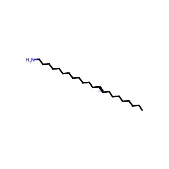 CCCCCCCC/C=C/CCCCCCCCCCCCN